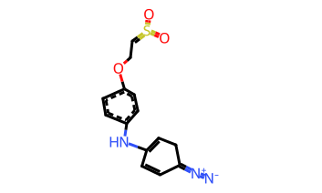 [N-]=[N+]=C1C=CC(Nc2ccc(OCC=S(=O)=O)cc2)=CC1